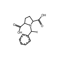 O=C(O)C1CCC(C(=O)O)N1C(I)c1ccccc1